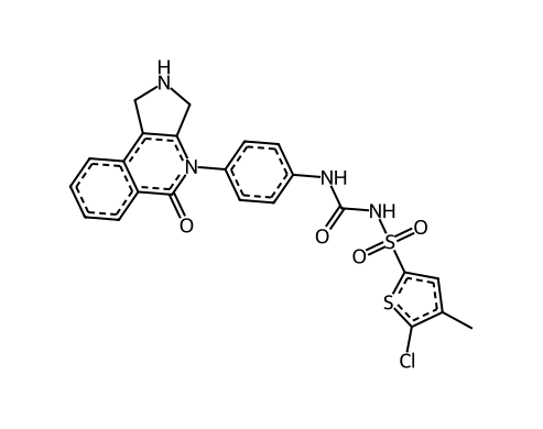 Cc1cc(S(=O)(=O)NC(=O)Nc2ccc(-n3c4c(c5ccccc5c3=O)CNC4)cc2)sc1Cl